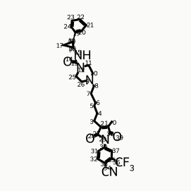 CC1=C(CCCCCCN2CCN(C(=O)N[C@@H]3C[C@H]3c3ccccc3)CC2)C(=O)N(c2ccc(C#N)c(C(F)(F)F)c2)C1=O